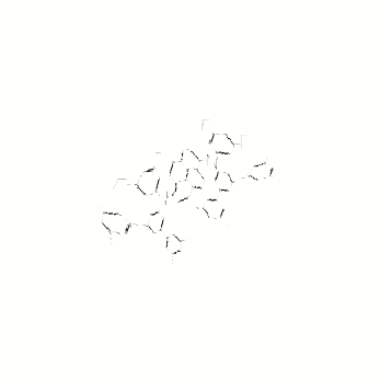 Cc1cc(C)cc(-c2cc(-c3cc(C)cc(C)c3)cc(N(c3cc(F)cc(F)c3)c3ccc4ccc5c(N(c6cc(F)cc(F)c6)c6cc(-c7cc(C)cc(C)c7)cc(-c7cc(C)cc(C)c7)c6)ccc6ccc3c4c65)c2)c1